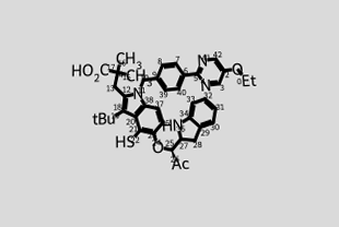 CCOc1cnc(-c2ccc(Cn3c(CC(C)(C)C(=O)O)c(C(C)(C)C)c4c(S)c(O[C@H](C(C)=O)C5Cc6ccccc6N5)ccc43)cc2)nc1